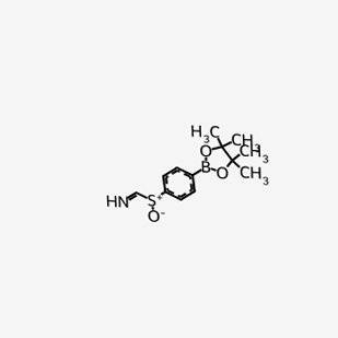 CC1(C)OB(c2ccc([S+]([O-])C=N)cc2)OC1(C)C